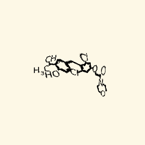 CC(C)c1cc(Cc2c(Cl)cc(OCC(=O)N3CCOCC3)cc2Cl)ccc1O